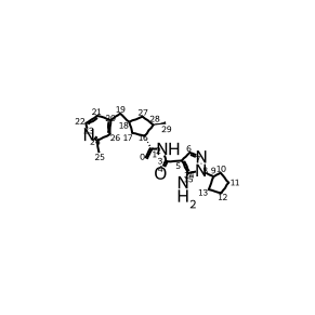 C=C(NC(=O)c1cnn(C2CCCC2)c1N)[C@@H]1CC(Cc2ccnc(C)c2)C[C@H]1C